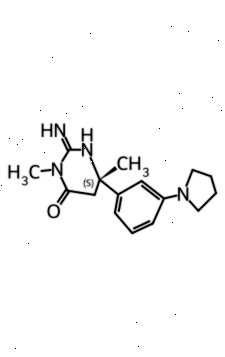 CN1C(=N)N[C@](C)(c2cccc(N3CCCC3)c2)CC1=O